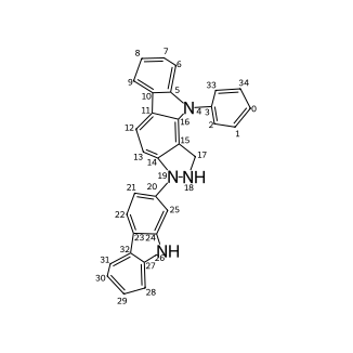 c1ccc(-n2c3ccccc3c3ccc4c(c32)CNN4c2ccc3c(c2)[nH]c2ccccc23)cc1